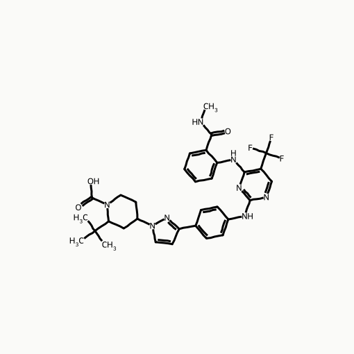 CNC(=O)c1ccccc1Nc1nc(Nc2ccc(-c3ccn(C4CCN(C(=O)O)C(C(C)(C)C)C4)n3)cc2)ncc1C(F)(F)F